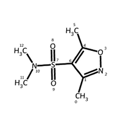 Cc1noc(C)c1S(=O)(=O)N(C)C